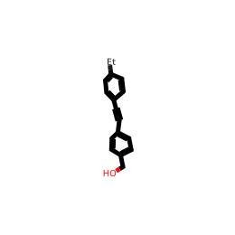 CCc1ccc(C#Cc2ccc(CO)cc2)cc1